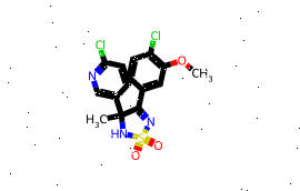 COc1cc(C2=NS(=O)(=O)NC2(C)c2ccc(Cl)nc2)ccc1Cl